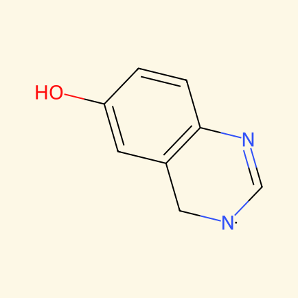 Oc1ccc2c(c1)C[N]C=N2